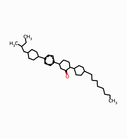 CCCCCCCCC1CCC(C2CCC(c3ccc(C4CCC(CC(C)CC)CC4)cc3)CC2=O)CC1